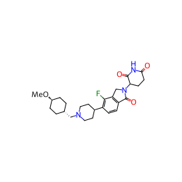 CO[C@H]1CC[C@H](CN2CCC(c3ccc4c(c3F)CN(C3CCC(=O)NC3=O)C4=O)CC2)CC1